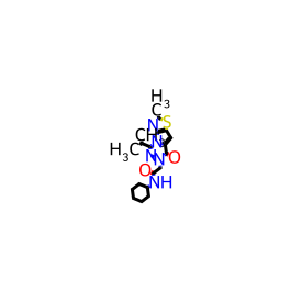 Cc1nc2c(cc3c(=O)n(CC(=O)NC4CCCCC4)nc(C(C)C)n32)s1